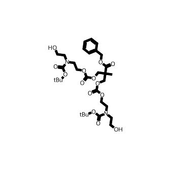 CC(C)(C)OC(=O)N(CCO)CCOC(=O)OCC(C)(COC(=O)OCCN(CCO)C(=O)OC(C)(C)C)C(=O)OCc1ccccc1